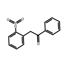 O=C(Cc1ccccc1[SH](=O)=O)c1ccccc1